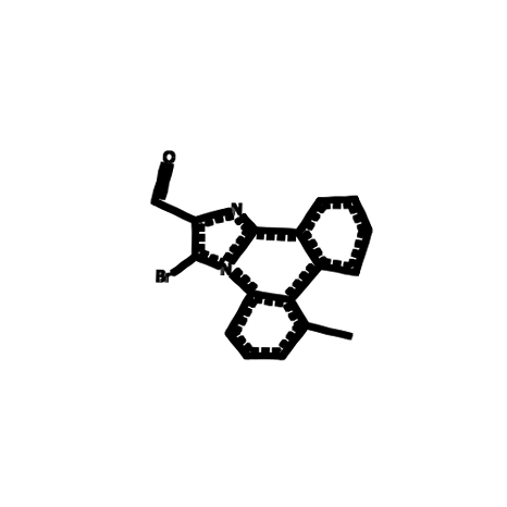 Cc1cccc2c1c1ccccc1c1nc(C=O)c(Br)n21